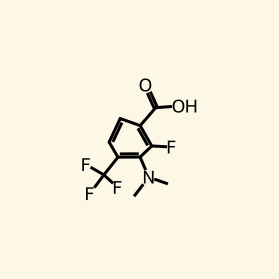 CN(C)c1c(C(F)(F)F)ccc(C(=O)O)c1F